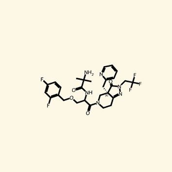 CC(C)(N)C(=O)NC(COCc1ccc(F)cc1F)C(=O)N1CCC2=NN(CC(F)(F)F)C(=O)[C@]2(Cc2ccccn2)C1